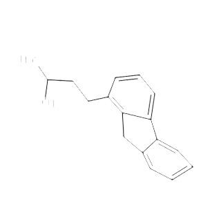 CC(C)CCc1cccc2c1Cc1ccccc1-2